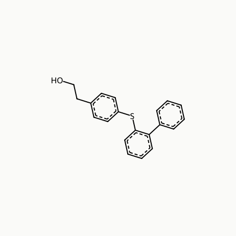 OCCc1ccc(Sc2ccccc2-c2ccccc2)cc1